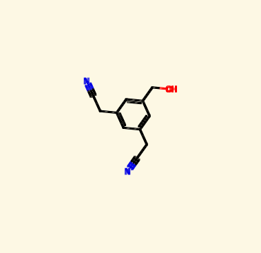 N#CCc1cc(CO)cc(CC#N)c1